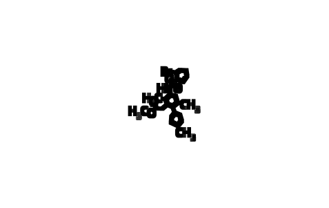 COC(=O)Cc1c(C)c(NS(=O)(=O)c2ccccc2Br)cc(C)c1-c1ccc(C)cc1